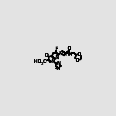 O=C(O)c1cn(-c2ncns2)c2nc(N3CC(C(=O)NCC4COCCO4)C3)c(F)cc2c1=O